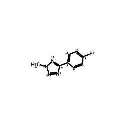 Cn1nnc(-c2ccc(F)cc2)n1